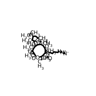 CC[C@H]1OC(=O)[C@@](C)(F)C(=O)[C@H](C)[C@@H](OC2OC(C)CC(N(C)C)C2C)[C@@](C)(OC)C[C@@H](C)C(=O)[C@H](C)[C@H]2N(CCCCN=[N+]=[N-])C(=O)O[C@]12C